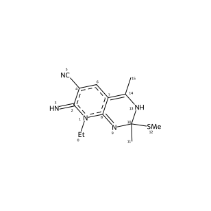 CCn1c(=N)c(C#N)cc2c1=NC(C)(SC)NC=2C